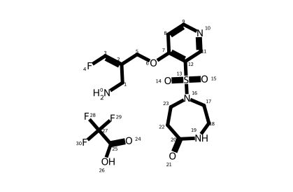 NC/C(=C\F)COc1ccncc1S(=O)(=O)N1CCNC(=O)CC1.O=C(O)C(F)(F)F